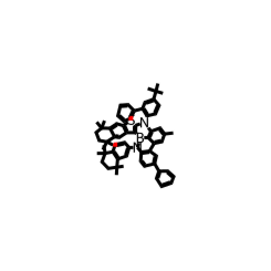 Cc1cc2c3c(c1)N(c1ccc(C(C)(C)C)cc1-c1ccccc1)c1sc4cc5c(cc4c1B3N(c1ccc3c(c1)C(C)(C)CCC3(C)C)c1ccc(-c3ccccc3)cc1-2)C(C)(C)CCC5(C)C